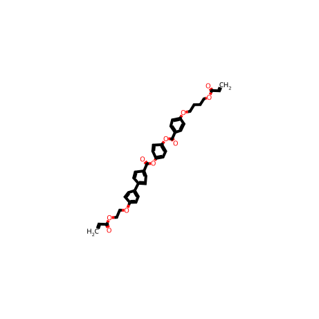 C=CC(=O)OCCCCOc1ccc(C(=O)Oc2ccc(OC(=O)c3ccc(-c4ccc(OCCOC(=O)C=C)cc4)cc3)cc2)cc1